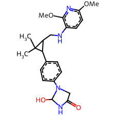 COc1ccc(NCC2C(c3ccc(N4CC(=O)NC4O)cc3)C2(C)C)c(OC)n1